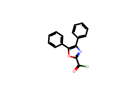 O=C(Cl)c1nc(-c2ccccc2)c(-c2ccccc2)o1